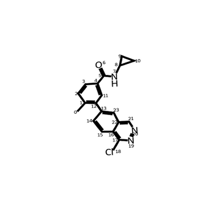 Cc1ccc(C(=O)NC2CC2)cc1-c1ccc2c(Cl)nncc2c1